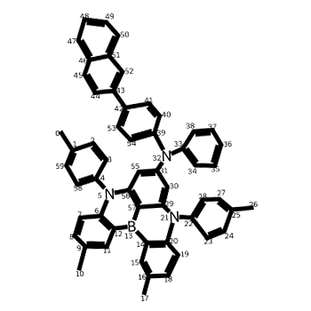 Cc1ccc(N2c3ccc(C)cc3B3c4cc(C)ccc4N(c4ccc(C)cc4)c4cc(N(c5ccccc5)c5ccc(-c6ccc7ccccc7c6)cc5)cc2c43)cc1